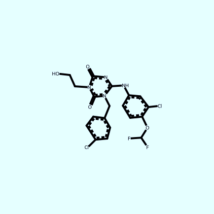 O=c1nc(Nc2ccc(OC(F)F)c(Cl)c2)n(Cc2ccc(Cl)cc2)c(=O)n1CCO